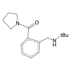 CC(C)(C)NCc1ccccc1C(=O)N1CCCC1